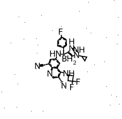 BC(Nc1cc(C#N)c2ncc(C#N)c(NC3CC(F)(F)C3)c2c1)(C1=CN(C2CC2)NN1)c1ccc(F)cc1